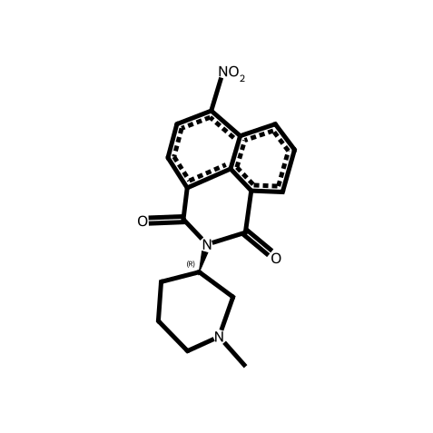 CN1CCC[C@@H](N2C(=O)c3cccc4c([N+](=O)[O-])ccc(c34)C2=O)C1